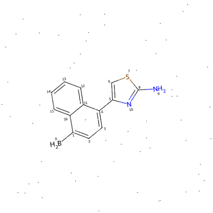 Bc1ccc(-c2csc(N)n2)c2ccccc12